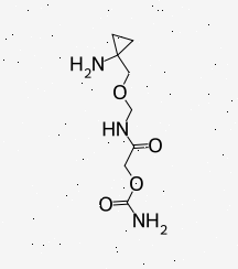 NC(=O)OCC(=O)NCOCC1(N)CC1